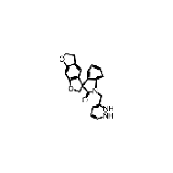 O=C1N(CC2=CC=CNN2)c2ccccc2C12COc1cc3c(cc12)CCO3